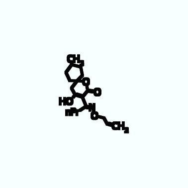 C=CCON=C(CCC)C1=C(O)CC2(CCC(C)CC2)OC1=O